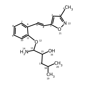 Cc1cc(C=Cc2ccccc2OC(N)C(O)CC(C)C)on1